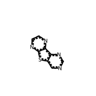 c1cnc2c(n1)sc1cncnc12